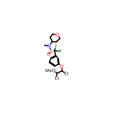 CCC(OC)C(CC)Oc1cccc(C(F)(F)[S+]([O-])N(C)C2CCOCC2)c1